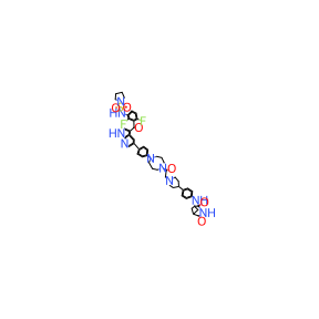 O=C(c1c(F)ccc(NS(=O)(=O)N2CCCC2)c1F)c1c[nH]c2ncc(-c3ccc(N4CCCN(C(=O)CN5CCC(c6ccc(NC78CC(C7)C(=O)NC8=O)cc6)CC5)CCC4)cc3)cc12